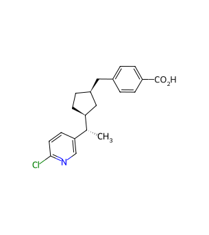 C[C@H](c1ccc(Cl)nc1)[C@H]1CC[C@@H](Cc2ccc(C(=O)O)cc2)C1